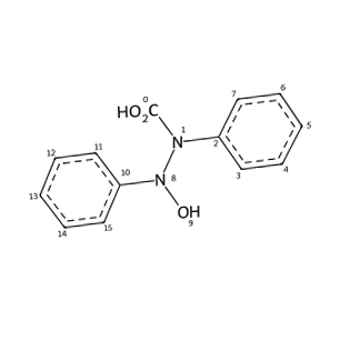 O=C(O)N(c1ccccc1)N(O)c1ccccc1